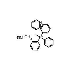 Cl.O.[Cl-].c1ccc([P+](Cc2cccnc2)(c2ccccc2)c2ccccc2)cc1